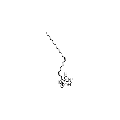 CCCCCCCCCCCC/C=C\CCCC/C=C\CCC(O)(C[N+](C)(C)C)P(=O)(O)O